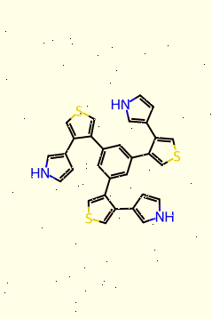 c1cc(-c2cscc2-c2cc(-c3cscc3-c3cc[nH]c3)cc(-c3cscc3-c3cc[nH]c3)c2)c[nH]1